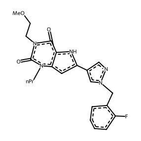 CCCn1c(=O)n(CCOC)c(=O)c2[nH]c(-c3cnn(Cc4ccccc4F)c3)cc21